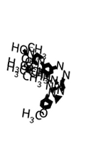 COc1ccc(CN(c2nc(Nc3cc(C#N)cc(N4CC[C@H](N(C)C(=O)O)[C@@H](O[Si](C)(C)C(C)(C)C)C4)c3Cl)nn3c(C#N)cnc23)C2CC2)cc1